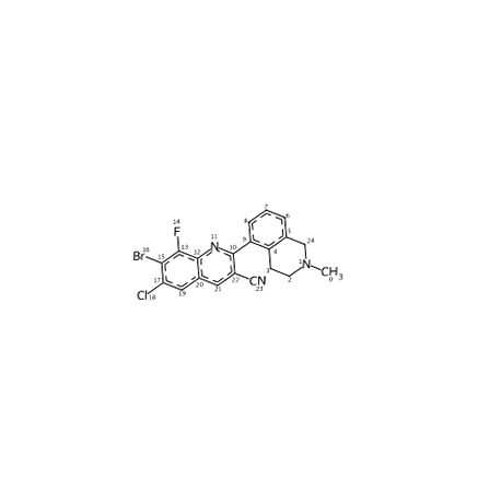 CN1CCc2c(cccc2-c2nc3c(F)c(Br)c(Cl)cc3cc2C#N)C1